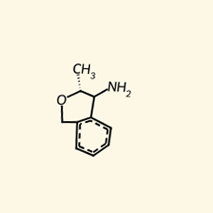 C[C@H]1OCc2ccccc2C1N